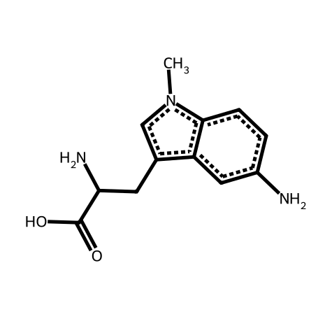 Cn1cc(CC(N)C(=O)O)c2cc(N)ccc21